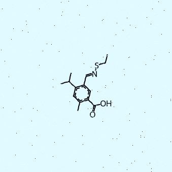 CCSN=Cc1cc(C(=O)O)c(C)cc1C(C)C